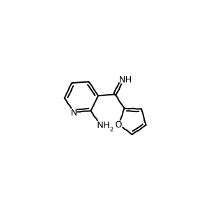 N=C(c1ccco1)c1cccnc1N